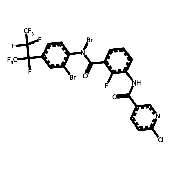 O=C(Nc1cccc(C(=O)N(Br)c2ccc(C(F)(C(F)(F)F)C(F)(F)C(F)(F)F)cc2Br)c1F)c1ccc(Cl)nc1